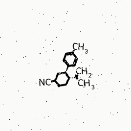 C=C(C)[C@@H]1CCC(C#N)C[C@H]1c1ccc(C)cc1